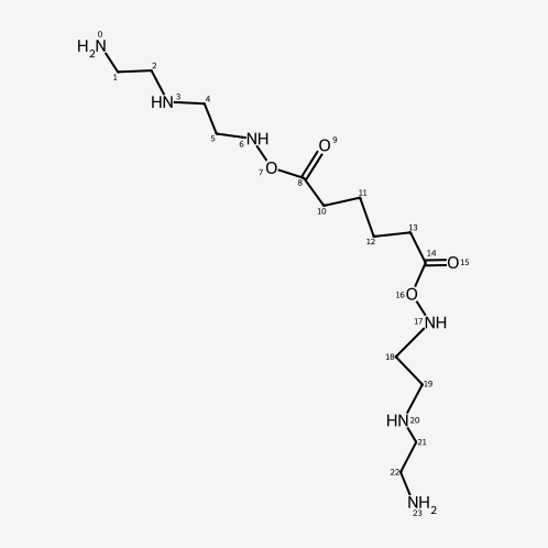 NCCNCCNOC(=O)CCCCC(=O)ONCCNCCN